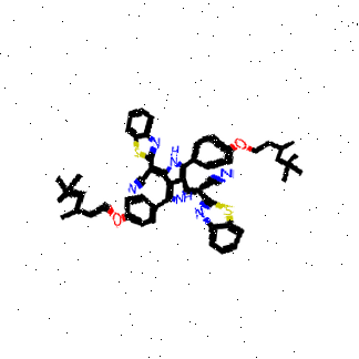 CC(CCOc1ccc(-c2[nH]/c(=C(/C#N)c3nc4ccccc4s3)c3c(-c4ccc(OCCC(C)CC(C)(C)C)cc4)[nH]/c(=C(/C#N)c4nc5ccccc5s4)c23)cc1)CC(C)(C)C